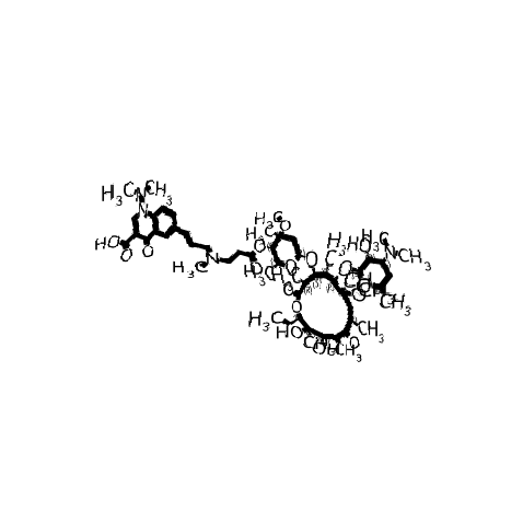 CC[C@H]1OC(=O)[C@H](C)[C@@H](O[C@H]2C[C@@](C)(OC)[C@@H](OC(=O)CCN(C)CCCc3ccc4c(c3)c(=O)c(C(=O)O)cn4N(C)C)[C@H](C)O2)[C@H](C)[C@@H](O[C@@H]2O[C@H](C)C[C@H](N(C)C)[C@H]2O)[C@](C)(OC)C[C@@H](C)C(=O)C(C)[C@@H](O)[C@]1(C)O